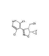 OCC1C(c2c(Cl)cncc2Cl)=NOC1C1CC1